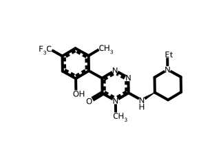 CCN1CCC[C@@H](Nc2nnc(-c3c(C)cc(C(F)(F)F)cc3O)c(=O)n2C)C1